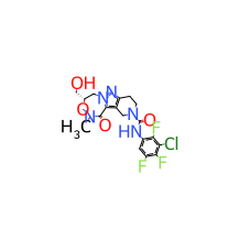 CN1O[C@H](CO)Cn2nc3c(c2C1=O)CN(C(=O)Nc1cc(F)c(F)c(Cl)c1F)CC3